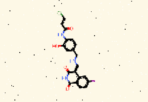 O=C(C=CCl)Nc1ccc(CNC=C2C(=O)NC(=O)c3ccc(I)cc32)cc1O